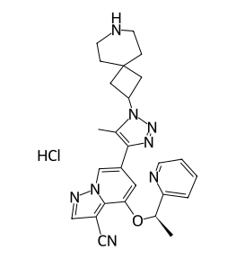 Cc1c(-c2cc(O[C@H](C)c3ccccn3)c3c(C#N)cnn3c2)nnn1C1CC2(CCNCC2)C1.Cl